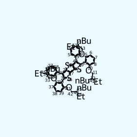 CCCCC(CC)COc1cccc(OCC(CC)CCCC)c1-c1sc2c(sc3c(-c4ccccc4)c(-c4c(OCC(CC)CCCC)cccc4OCC(CC)CCCC)sc32)c1-c1ccccc1